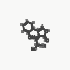 CCN(C=C1C(=O)ON=C1c1ccccc1OC)CC